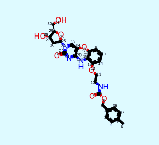 Cc1ccc(COC(=O)NCCOc2cccc3c2Nc2nc(=O)n([C@H]4C[C@@H](O)[C@@H](CO)O4)cc2O3)cc1